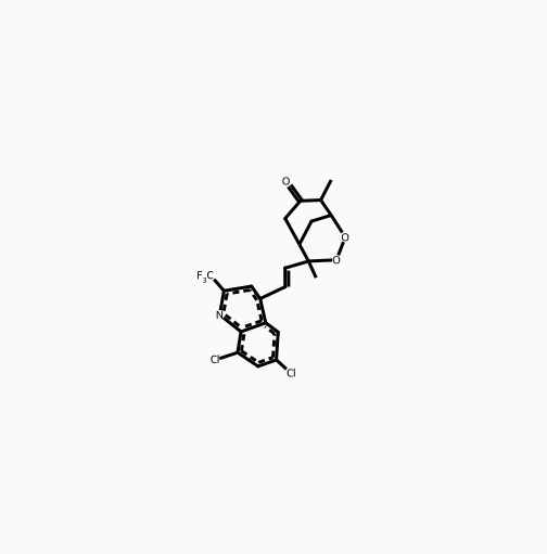 CC1C(=O)CC2CC1OOC2(C)C=Cc1cc(C(F)(F)F)nc2c(Cl)cc(Cl)cc12